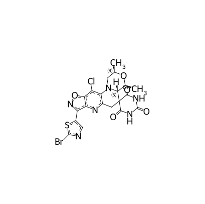 C[C@@H]1CN2c3c(nc4c(-c5cnc(Br)s5)noc4c3Cl)CC3(C(=O)NC(=O)NC3=O)[C@H]2[C@H](C)O1